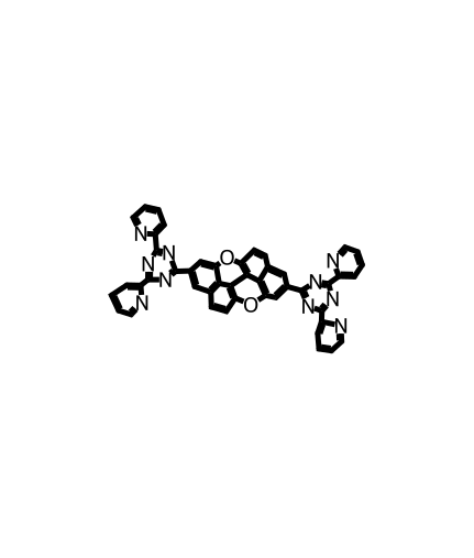 c1ccc(-c2nc(-c3cc4ccc5oc6cc(-c7nc(-c8ccccn8)nc(-c8ccccn8)n7)cc7ccc8oc(c3)c4c5-c8c76)nc(-c3ccccn3)n2)nc1